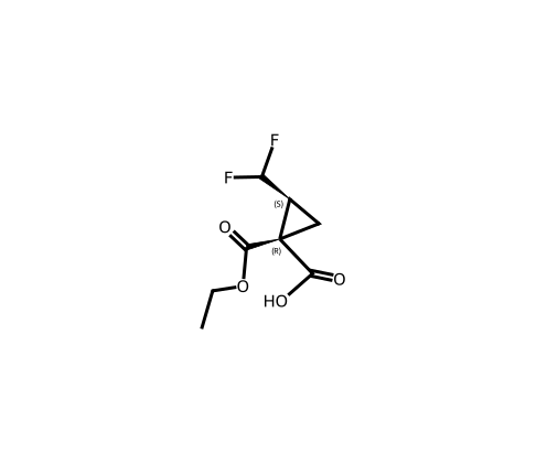 CCOC(=O)[C@]1(C(=O)O)C[C@@H]1C(F)F